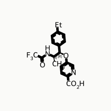 CCc1ccc([C@@H](Oc2ccc(C(=O)O)nc2)[C@H](C)NC(=O)C(F)(F)F)cc1